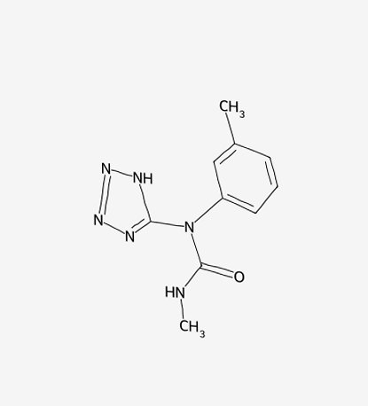 CNC(=O)N(c1cccc(C)c1)c1nnn[nH]1